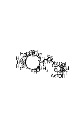 CC(=O)C(O)[C@H]1O[C@@H](OCc2nc(/C=C(\C)[C@@H]3C[C@@H]4O[C@@H]4CCC[C@H](C)[C@H](O)[C@@H](C)C(=O)C(C)(C)[C@@H](O)CC(=O)O3)cs2)[C@@](O)(C(C)=O)[C@](O)(C(C)=O)[C@@]1(O)C(C)=O